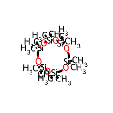 C[Si]1(C)CO[Si](C)(C)O[Si](C)(C)O[Si](C)(C)CO[Si](C)(C)O[Si](C)(C)CO1